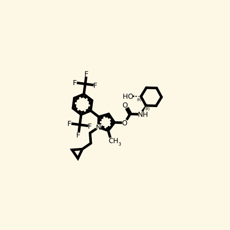 Cc1c(OC(=O)N[C@@H]2CCCC[C@H]2O)cc(-c2cc(C(F)(F)F)ccc2C(F)(F)F)n1CCC1CC1